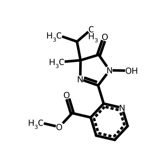 COC(=O)c1cccnc1C1=NC(C)(C(C)C)C(=O)N1O